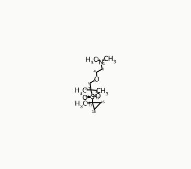 CN(C)CCOCC(C)(C)S(=O)(=O)C1(C)CC1